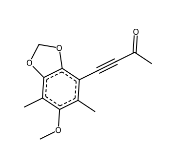 COc1c(C)c(C#CC(C)=O)c2c(c1C)OCO2